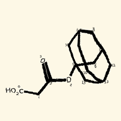 O=C(O)CC(=O)OC12CC3CC(CC(C3)C1)C2